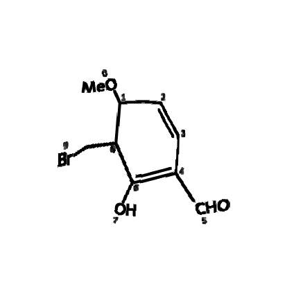 COC1C=CC(C=O)=C(O)C1Br